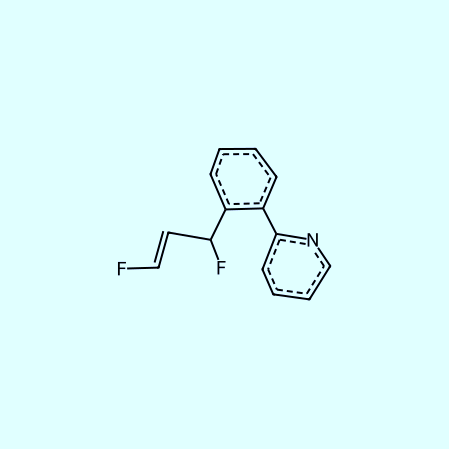 FC=CC(F)c1ccccc1-c1ccccn1